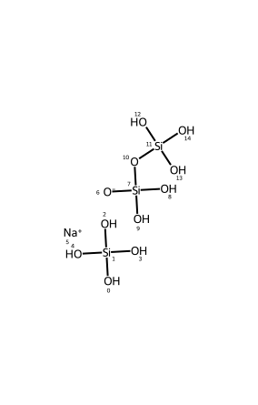 O[Si](O)(O)O.[Na+].[O-][Si](O)(O)O[Si](O)(O)O